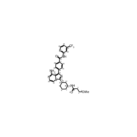 COCCC(=O)N[C@@H]1CCC[C@@H](c2nc(-c3ccc(C(=O)Nc4cc(C(F)(F)F)ccn4)cc3)c3c(N)nccn23)C1